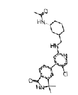 CC(=O)N[C@@H]1CCCC(CNc2cc(-c3ccc4c(c3)C(C)(C)NC4=O)c(Cl)cn2)C1